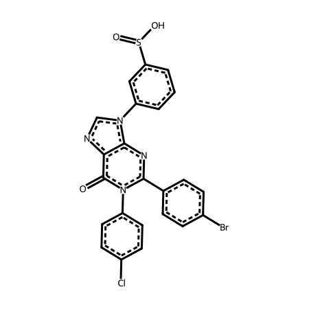 O=c1c2ncn(-c3cccc(S(=O)O)c3)c2nc(-c2ccc(Br)cc2)n1-c1ccc(Cl)cc1